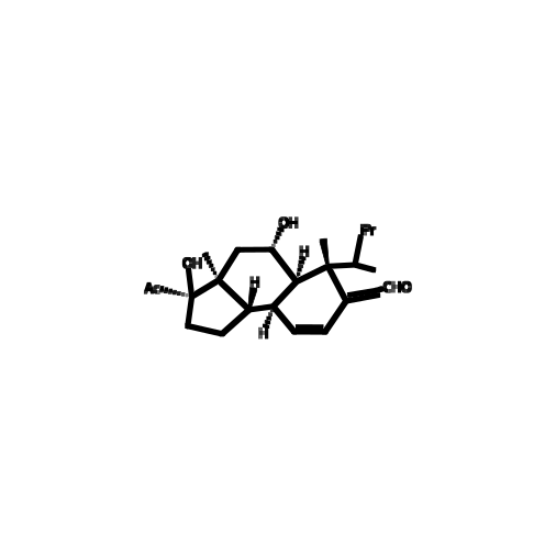 CC(=O)[C@@]1(O)CC[C@H]2[C@@H]3C=C/C(=C/C=O)[C@@](C)(C(C)C(C)C)[C@@H]3[C@@H](O)C[C@@]21C